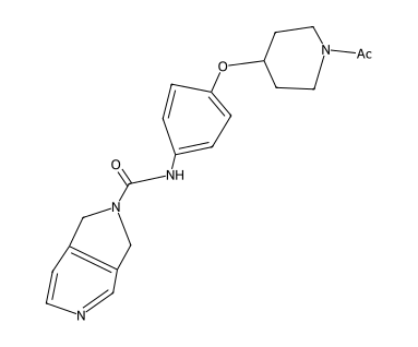 CC(=O)N1CCC(Oc2ccc(NC(=O)N3Cc4ccncc4C3)cc2)CC1